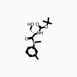 Cc1cccc(N(C)C(=O)[C@H](CO)NC(=O)OC(C)(C)C)c1